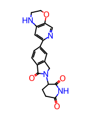 O=C1CCC(N2Cc3cc(-c4cc5c(cn4)OCCN5)ccc3C2=O)C(=O)N1